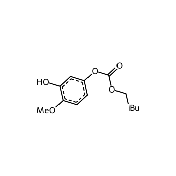 CCC(C)COC(=O)Oc1ccc(OC)c(O)c1